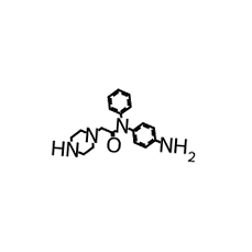 Nc1ccc(N(C(=O)CN2CCNCC2)c2ccccc2)cc1